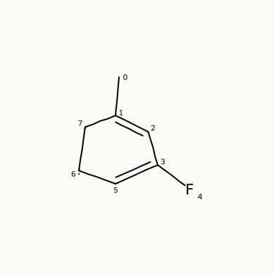 CC1=CC(F)=C[CH]C1